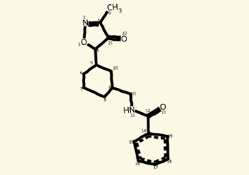 CC1=NOC(C2CCCC(CNC(=O)c3ccccc3)C2)C1=O